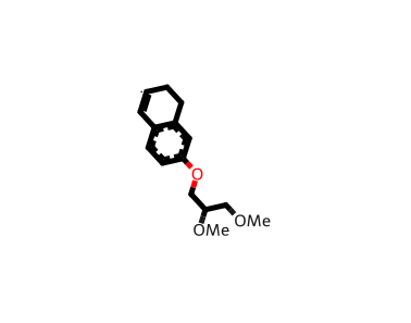 COCC(COc1ccc2c(c1)CC[C]=C2)OC